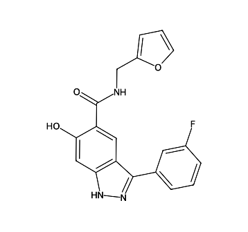 O=C(NCc1ccco1)c1cc2c(-c3cccc(F)c3)n[nH]c2cc1O